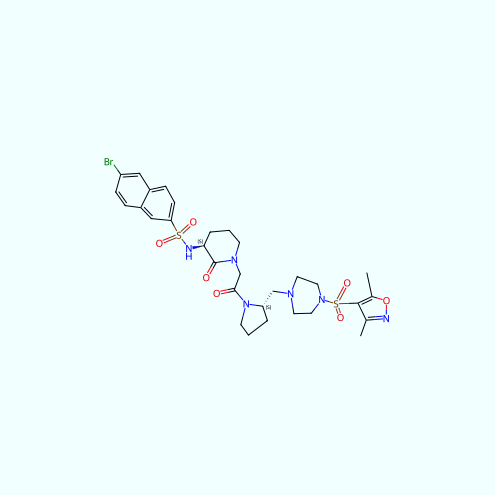 Cc1noc(C)c1S(=O)(=O)N1CCN(C[C@@H]2CCCN2C(=O)CN2CCC[C@H](NS(=O)(=O)c3ccc4cc(Br)ccc4c3)C2=O)CC1